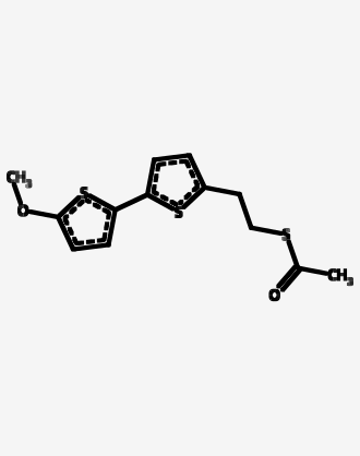 COc1ccc(-c2ccc(CCSC(C)=O)s2)s1